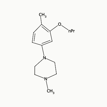 CCCOc1cc(N2CCN(C)CC2)ccc1C